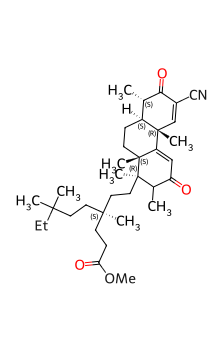 CCC(C)(C)CC[C@](C)(CCC(=O)OC)CC[C@]1(C)C(C)C(=O)C=C2[C@@]3(C)C=C(C#N)C(=O)[C@@H](C)[C@@H]3CC[C@]21C